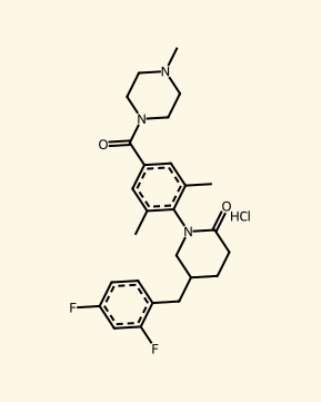 Cc1cc(C(=O)N2CCN(C)CC2)cc(C)c1N1CC(Cc2ccc(F)cc2F)CCC1=O.Cl